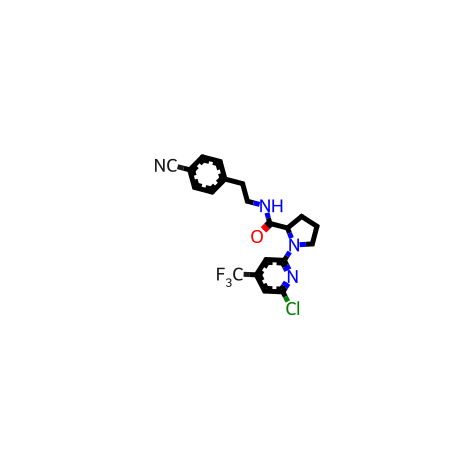 N#Cc1ccc(CCNC(=O)C2CCCN2c2cc(C(F)(F)F)cc(Cl)n2)cc1